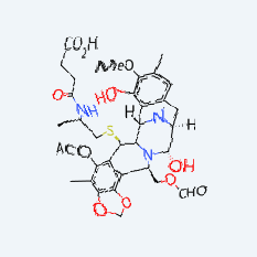 COc1c(C)cc2c(c1O)[C@H]1C3[C@H](SC[C@@H](C)NC(=O)CCC(=O)O)c4c(OC(C)=O)c(C)c5c(c4[C@H](COC=O)N3[C@@H](O)[C@H](C2)N1C)OCO5